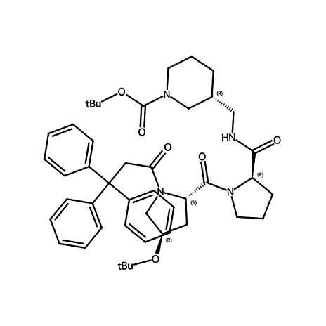 CC(C)(C)OC(=O)N1CCC[C@H](CNC(=O)[C@H]2CCCN2C(=O)[C@@H]2C[C@@H](OC(C)(C)C)CN2C(=O)CC(c2ccccc2)(c2ccccc2)c2ccccc2)C1